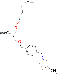 CCCCCCCCCCCCCCOCC(COCc1ccc(CN2C=C(C)SC2)cc1)OC